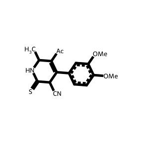 COc1ccc(C2=C(C(C)=O)C(C)NC(=S)C2C#N)cc1OC